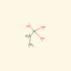 C[SiH2]C(O)(O)O